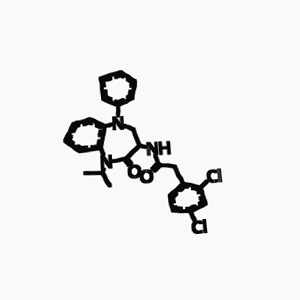 CC(C)N1C(=O)C(NC(=O)Cc2ccc(Cl)cc2Cl)CN(c2ccccc2)c2ccccc21